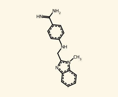 Cn1c(CNc2ccc(C(=N)N)cc2)nc2c[c]ccc21